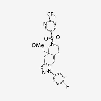 COCC12Cc3cnn(-c4ccc(F)cc4)c3C=C1CCN(S(=O)(=O)c1ccc(C(F)(F)F)nc1)C2